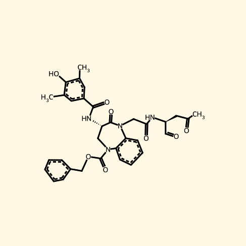 CC(=O)C[C@@H](C=O)NC(=O)CN1C(=O)[C@@H](NC(=O)c2cc(C)c(O)c(C)c2)CN(C(=O)OCc2ccccc2)c2ccccc21